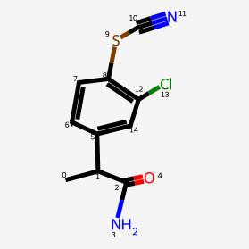 CC(C(N)=O)c1[c]cc(SC#N)c(Cl)c1